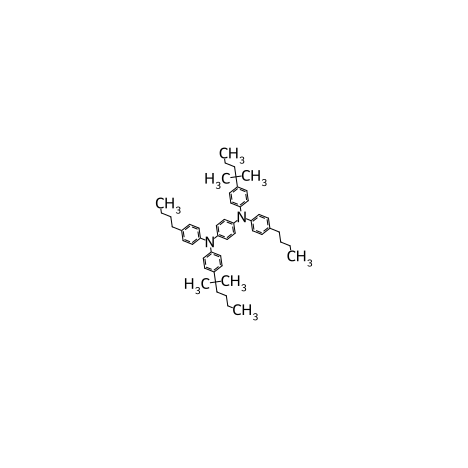 CCCCc1ccc(N(c2ccc(N(c3ccc(CCCC)cc3)c3ccc(C(C)(C)CCCC)cc3)cc2)c2ccc(C(C)(C)CCC)cc2)cc1